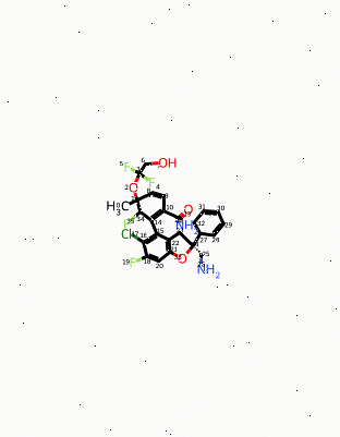 CC1(OC(F)(F)CO)C=CC(C(N)=O)=C(c2c(Cl)c(F)cc3c2C[C@@](CN)(C2C=CC=CC2)O3)C1F